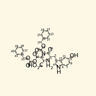 NC(Cc1c[nH]c2ccc(O)cc12)C(=O)N(C(=O)OCc1ccccc1)C(CC(=O)O)C(=O)OC(=O)OCc1ccccc1